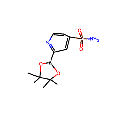 CC1(C)OB(c2cc(S(N)(=O)=O)ccn2)OC1(C)C